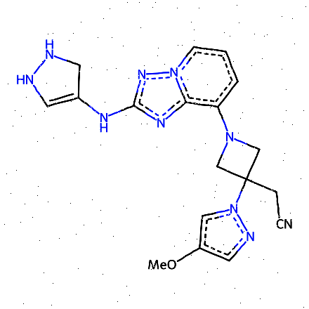 COc1cnn(C2(CC#N)CN(c3cccn4nc(NC5=CNNC5)nc34)C2)c1